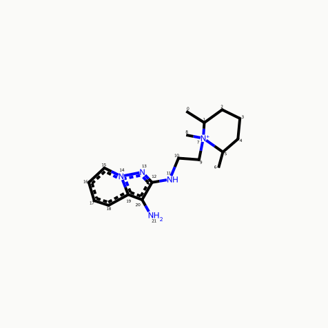 CC1CCCC(C)[N+]1(C)CCNc1nn2ccccc2c1N